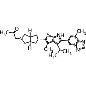 CC(=O)CN1C[C@H]2C[C@@H](c3sc4[nH]c(-c5cc(C)c6ncnn6c5)c(C(C)C)c4c3C)C[C@H]2C1